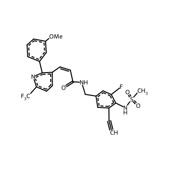 C#Cc1cc(CNC(=O)/C=C\c2ccc(C(F)(F)F)nc2-c2cccc(OC)c2)cc(F)c1NS(C)(=O)=O